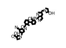 Cc1c(-c2nc3cc(CN4CC[C@@](C)(C(=O)O)C4)cc(C#N)c3o2)cccc1-c1cccc(Nc2nccc3cc(CN4CC[C@H](O)C4)cnc23)c1Cl